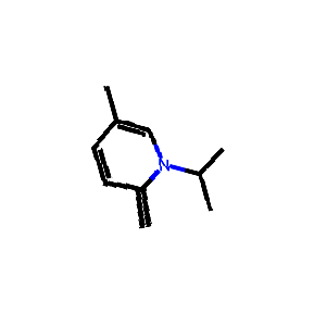 C=C1C=CC(C)=CN1C(C)C